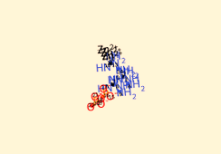 N=C(N)NN.N=C(N)NN.N=C(N)NN.[O-]P([O-])[O-].[O-]P([O-])[O-].[Zn+2].[Zn+2].[Zn+2]